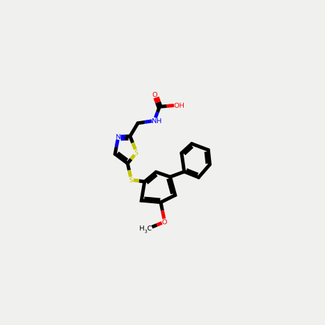 COc1cc(Sc2cnc(CNC(=O)O)s2)cc(-c2ccccc2)c1